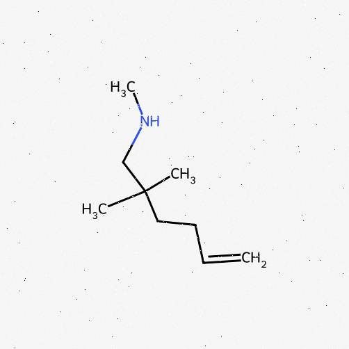 C=CCCC(C)(C)CNC